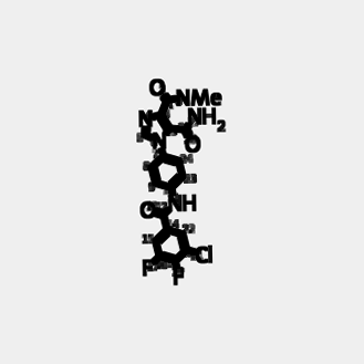 CNC(=O)c1ncn(-c2ccc(NC(=O)c3cc(F)c(F)c(Cl)c3)cc2)c1C(N)=O